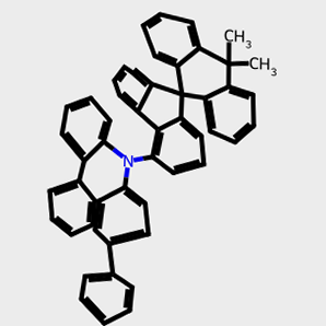 CC1(C)c2ccccc2C2(c3ccccc3-c3c(N(c4ccc(-c5ccccc5)cc4)c4ccccc4-c4ccccc4)cccc32)c2ccccc21